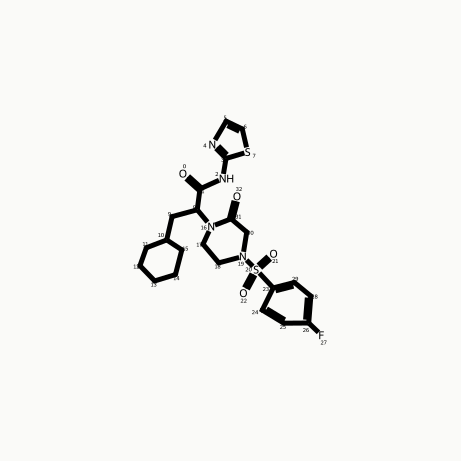 O=C(Nc1nccs1)C(CC1CCCCC1)N1CCN(S(=O)(=O)c2ccc(F)cc2)CC1=O